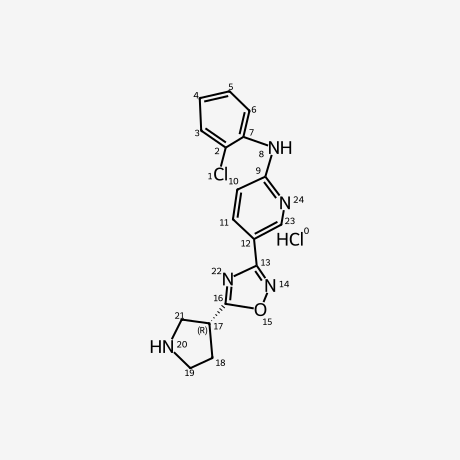 Cl.Clc1ccccc1Nc1ccc(-c2noc([C@@H]3CCNC3)n2)cn1